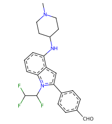 CN1CCC(Nc2cccc3c2cc(-c2ccc(C=O)cc2)n3C(F)C(F)F)CC1